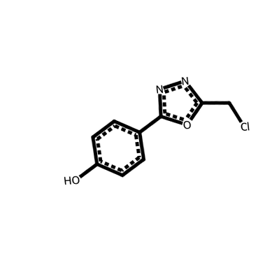 Oc1ccc(-c2nnc(CCl)o2)cc1